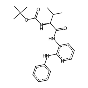 CC(C)[C@H](NC(=O)OC(C)(C)C)C(=O)Nc1cccnc1Nc1ccccc1